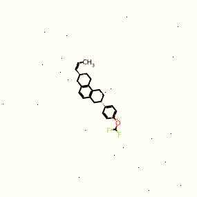 C/C=C\[C@H]1CCc2c(ccc3c2CC[C@H](c2ccc(OC(F)F)cc2)C3)C1